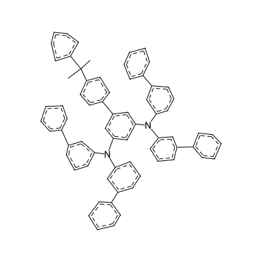 CC(C)(c1ccccc1)c1ccc(-c2cc(N(c3cccc(-c4ccccc4)c3)c3cccc(-c4ccccc4)c3)cc(N(c3cccc(-c4ccccc4)c3)c3cccc(-c4ccccc4)c3)c2)cc1